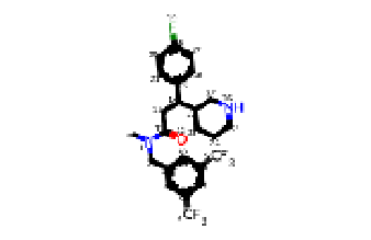 CN(Cc1cc(C(F)(F)F)cc(C(F)(F)F)c1)C(=O)CC(c1ccc(F)cc1)C1CCCNC1